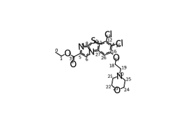 CCOC(=O)c1cn2c(n1)sc1c(Cl)c(Cl)c(OCCN3CCOCC3)cc12